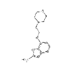 O=C(O)c1cc2cccc(OCCN3CCOCC3)c2o1